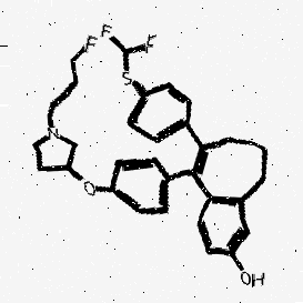 Oc1ccc2c(c1)CCCC(c1ccc(SC(F)F)cc1)=C2c1ccc(OC2CCN(CCCF)C2)cc1